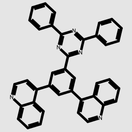 c1ccc(-c2nc(-c3ccccc3)nc(-c3cc(-c4ccnc5ccccc45)cc(-c4ccnc5ccccc45)c3)n2)cc1